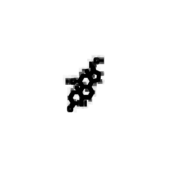 CC12CCC(=O)NC1=CCC1C2[C@@H](O)CC2(C)/C(=N/O)CCC12